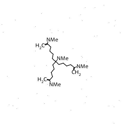 C=C(CCCCC(CCCCC(=C)NC)(CCCCC(=C)NC)NC)NC